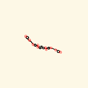 CC1(C)c2cc(OC(=O)c3ccc(OCCCCOCC4CCC5OC5C4)cc3)ccc2-c2ccc(OC(=O)c3ccc(OCCCCOCC4CCC5OC5C4)cc3)cc21